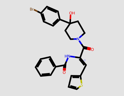 O=C(N/C(=C\c1cccs1)C(=O)N1CCC(O)(c2ccc(Br)cc2)CC1)c1ccccc1